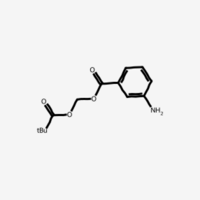 CC(C)(C)C(=O)OCOC(=O)c1cccc(N)c1